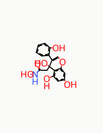 O=C(CC1(O)C(c2ccccc2O)=COc2cc(O)cc(O)c21)NO